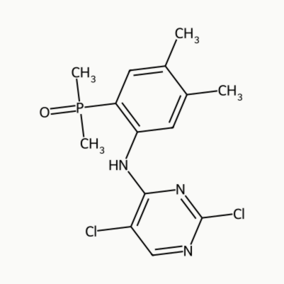 Cc1cc(Nc2nc(Cl)ncc2Cl)c(P(C)(C)=O)cc1C